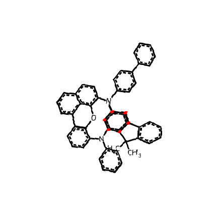 CC1(C)c2ccccc2-c2cc(N(c3ccc(-c4ccccc4)cc3)c3ccc4cccc5c4c3Oc3c-5cccc3N(c3ccccc3)c3ccccc3)ccc21